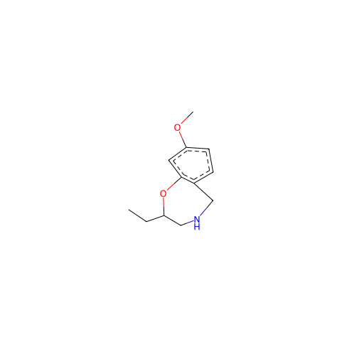 CCC1CNCc2ccc(OC)cc2O1